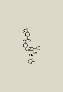 Cc1ccccc1CNC(=O)n1nc(-c2cc(NC(=O)c3ccc4c(c3)OCO4)ccc2O)cc1C1CCCC1